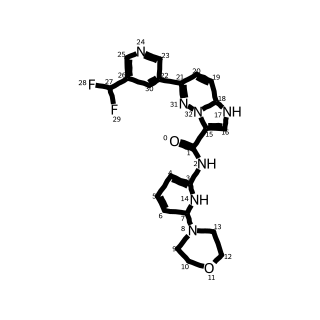 O=C(NC1=CC=CC(N2CCOCC2)N1)C1=CNC2C=CC(c3cncc(C(F)F)c3)=NN12